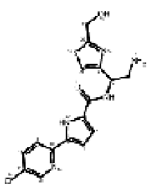 NCC(NC(=O)c1ccc(-c2ccc(Cl)cn2)[nH]1)c1csc(CO)n1